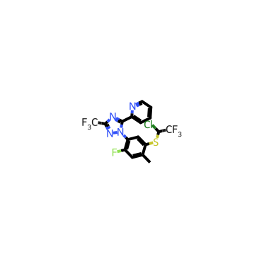 Cc1cc(F)c(-n2nc(C(F)(F)F)nc2-c2ccccn2)cc1SC(Cl)C(F)(F)F